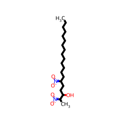 CCCCCCCCCCCCCCC(CCC(O)C(C)[N+](=O)[O-])[N+](=O)[O-]